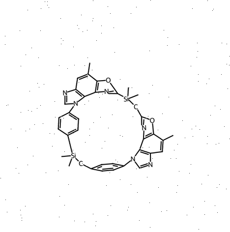 Cc1cc2ncn3c2c2nc(oc12)C[Si](C)(C)c1nc2c(o1)c(C)cc1ncn(c12)-c1ccc(cc1)[Si](C)(C)Cc1ccc-3cc1